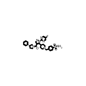 NS(=O)(=O)c1ccc(CN2CCC(c3c(C(=O)N4CC[C@H](c5ccccc5)C4)cnn3-c3ncc(F)cn3)CC2)cc1